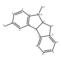 Cc1ccc2c(c1)C1c3ccccc3CC1N2C